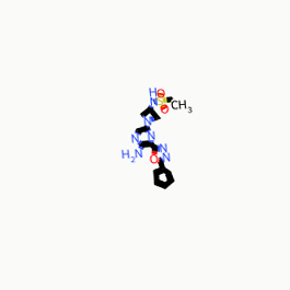 CCS(=O)(=O)NC1CN(c2cnc(N)c(-c3nnc(-c4ccccc4)o3)n2)C1